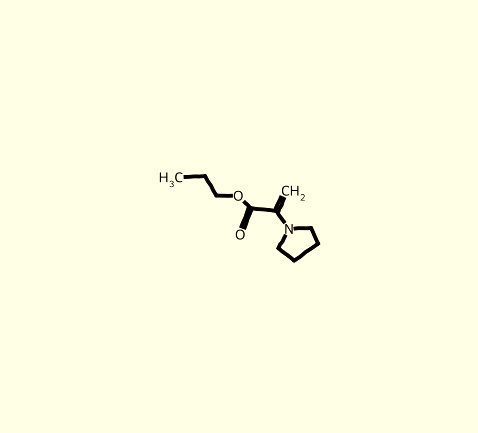 C=C(C(=O)OCCC)N1CCCC1